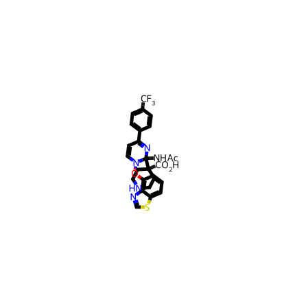 CC(=O)NC1(C2(C(=O)O)CCNCC2)N=C(c2ccc(C(F)(F)F)cc2)C=CN1Oc1cccc2scnc12